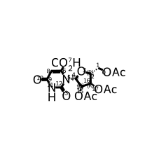 CC(=O)OC[C@H]1O[C@@H](n2c(C(=O)O)cc(=O)[nH]c2=O)[C@H](OC(C)=O)[C@@H]1OC(C)=O